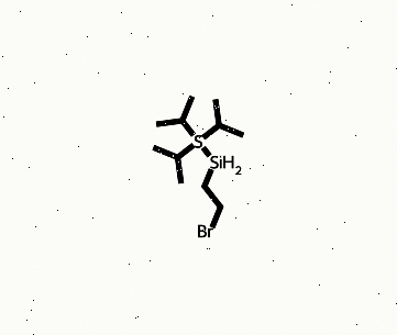 CC(C)S([SiH2]CCBr)(C(C)C)C(C)C